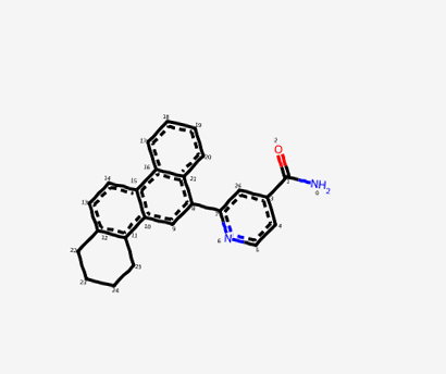 NC(=O)c1ccnc(-c2cc3c4c(ccc3c3ccccc23)CCCC4)c1